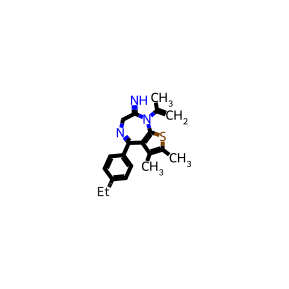 C=C(C)N1C(=N)CN=C(c2ccc(CC)cc2)c2c1sc(C)c2C